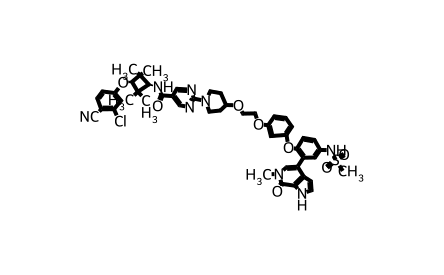 Cn1cc(-c2cc(NS(C)(=O)=O)ccc2Oc2cccc(OCCOC3CCN(c4ncc(C(=O)N[C@H]5C(C)(C)[C@H](Oc6ccc(C#N)c(Cl)c6)C5(C)C)cn4)CC3)c2)c2cc[nH]c2c1=O